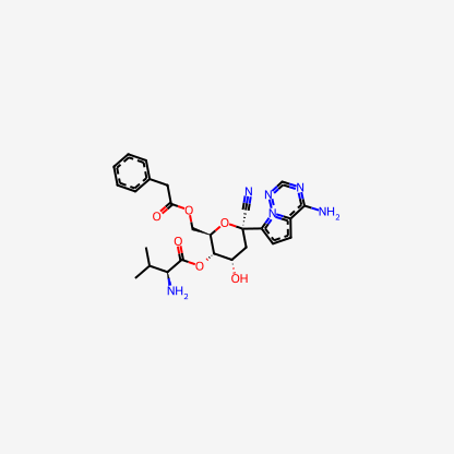 CC(C)[C@H](N)C(=O)O[C@H]1[C@@H](O)C[C@](C#N)(c2ccc3c(N)ncnn23)O[C@@H]1COC(=O)Cc1ccccc1